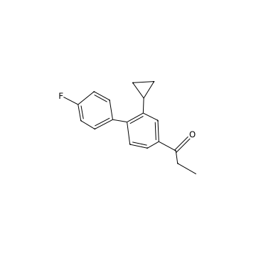 CCC(=O)c1ccc(-c2ccc(F)cc2)c(C2CC2)c1